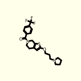 O=C(c1ccc(C(F)(F)F)cc1)N1CCc2cc(OCCCN3CCCC3)sc2C1